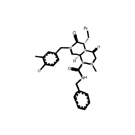 Cc1cc(CN2C[C@H]3N(C(=O)CN(C)N3C(=O)NCc3ccccc3)[C@@H](CC(C)C)C2=O)ccc1Cl